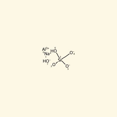 [Al+3].[Na+].[O-][Si]([O-])([O-])O.[OH-]